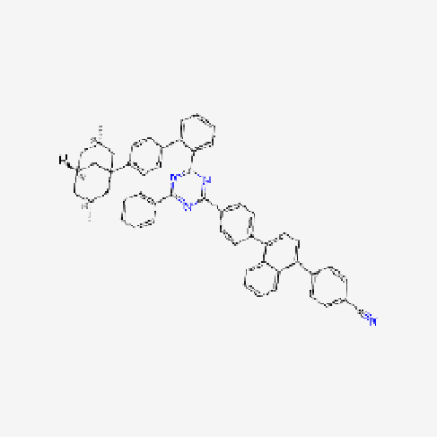 C[C@@H]1C[C@@H]2C[C@H](C)CC(c3ccc(-c4ccccc4-c4nc(-c5ccccc5)nc(-c5ccc(-c6ccc(-c7ccc(C#N)cc7)c7ccccc67)cc5)n4)cc3)(C1)C2